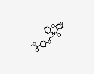 COC(=O)c1ccc(OCCN2C(=O)c3ccncc3OC3C=CC=CC32)cc1